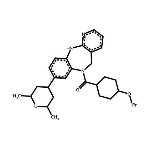 CC(C)OC1CCC(C(=O)N2Cc3cccnc3Nc3ccc(C4CC(C)OC(C)C4)cc32)CC1